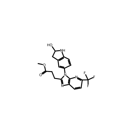 COC(=O)CCc1nc2ccc(C(F)(F)F)nc2n1-c1ccc2c(c1)CC(O)N2